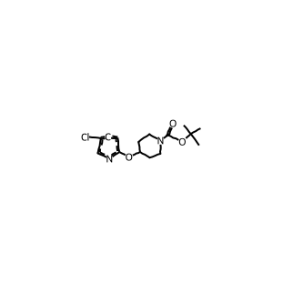 CC(C)(C)OC(=O)N1CCC(Oc2ccc(Cl)cn2)CC1